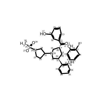 Cc1c(F)cccc1[C@H]1[C@@H](C(=O)c2cccc(O)c2)CN(C2CCN(S(C)(=O)=O)C2)C[C@@H]1c1[c]cccc1O